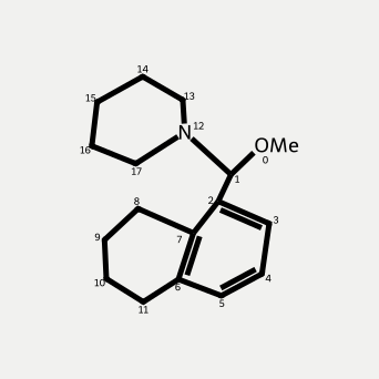 COC(c1cccc2c1CCCC2)N1CCCCC1